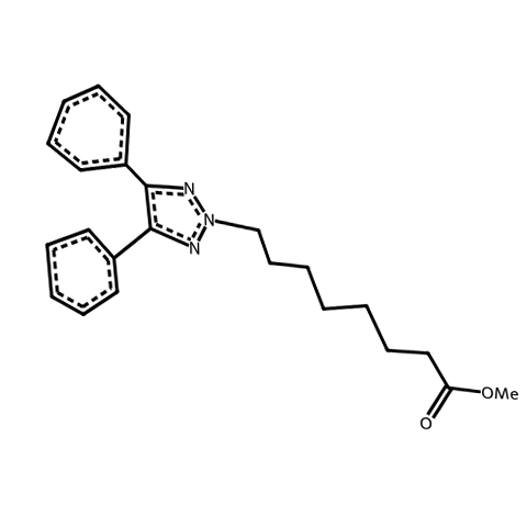 COC(=O)CCCCCCCn1nc(-c2ccccc2)c(-c2ccccc2)n1